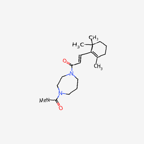 CNC(=O)N1CCCN(C(=O)C=CC2=C(C)CCCC2(C)C)CC1